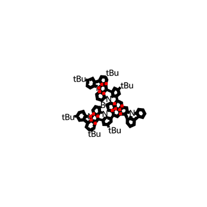 CC(C)(C)c1cc(-c2ccccc2)c(N2c3cc(-n4c5ccc(C(C)(C)C)cc5c5cc(C(C)(C)C)ccc54)ccc3B3c4ccc(-n5c6ccc(C(C)(C)C)cc6c6cc(C(C)(C)C)ccc65)cc4N(c4c(-c5ccccc5)cc(C(C)(C)C)cc4-c4ccccc4)c4cc(-c5ccc6c(c5)c5cccc7c8ccccc8n6c75)cc2c43)c(-c2ccccc2)c1